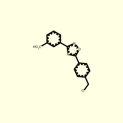 O=C(O)c1cccc(-c2noc(-c3ccc(CCl)cc3)n2)c1